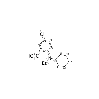 CCN(c1ccc(Cl)cc1C(=O)O)C1CCCCC1